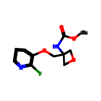 CC(C)(C)OC(=O)NC1(COc2cccnc2F)COC1